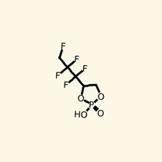 O=P1(O)OCC(C(F)(F)C(F)(F)CF)O1